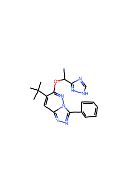 CC(Oc1nn2c(-c3ccccc3)nnc2cc1C(C)(C)C)c1nc[nH]n1